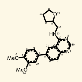 COc1ccc(-c2ccc3ncnc(NCC4CCCO4)c3c2)cc1OC